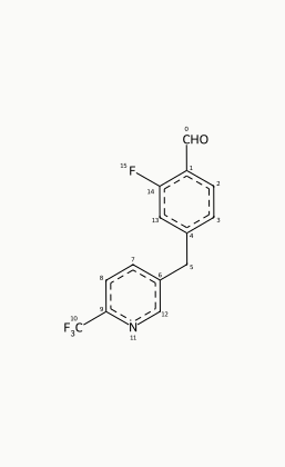 O=Cc1ccc(Cc2ccc(C(F)(F)F)nc2)cc1F